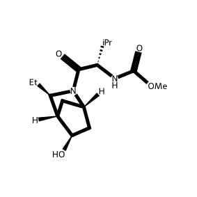 CC[C@@H]1[C@@H]2C[C@@H](C[C@H]2O)N1C(=O)[C@@H](NC(=O)OC)C(C)C